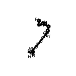 CC(=O)Nc1cc(NCCOCCOCCOCCOCCNC(=O)CN2CCN(c3cccc(C4=CN=C5C=CC(N6CCCC6c6cccc(F)c6)=NC5C4)n3)CC2)ccc1C=O